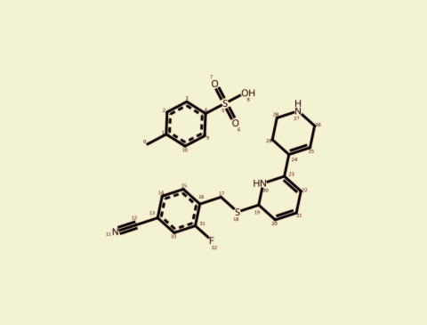 Cc1ccc(S(=O)(=O)O)cc1.N#Cc1ccc(CSC2C=CC=C(C3=CCNCC3)N2)c(F)c1